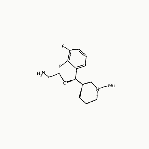 CC(C)(C)N1CCC[C@@H]([C@@H](OCCN)c2cccc(F)c2F)C1